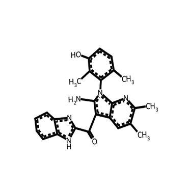 Cc1cc2c(C(=O)c3nc4ccccc4[nH]3)c(N)n(-c3c(C)ccc(O)c3C)c2nc1C